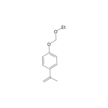 C=C(C)c1ccc(OCOCC)cc1